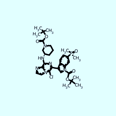 CC(C)(C)OC(=O)N1CCC[C@H](Nc2nc(-c3cn(C(=O)OC(C)(C)C)c4cc(P(C)(C)=O)ccc34)c(Cl)n3ccnc23)C1